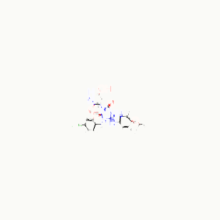 CNC(=O)[C@@H](CCO)n1c(=O)[nH]/c(=N\c2ccc(OC(C)C)c(C)c2)n(Cc2ccc(Cl)cc2)c1=O